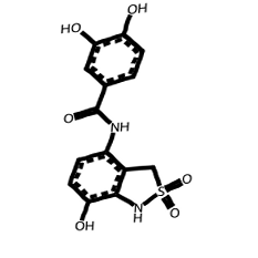 O=C(Nc1ccc(O)c2c1CS(=O)(=O)N2)c1ccc(O)c(O)c1